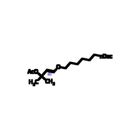 CCCCCCCCCCCCCCCCO/C=C/C(C)(C)OC(C)=O